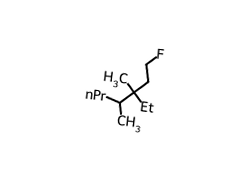 CCCC(C)C(C)(CC)CCF